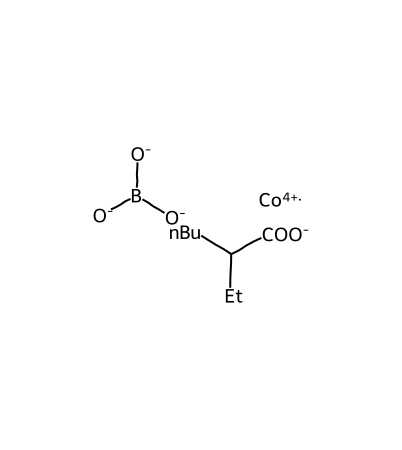 CCCCC(CC)C(=O)[O-].[Co+4].[O-]B([O-])[O-]